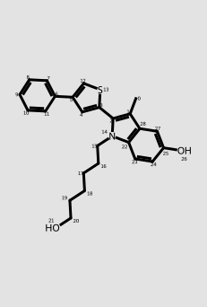 Cc1c(-c2cc(-c3ccccc3)cs2)n(CCCCCCO)c2ccc(O)cc12